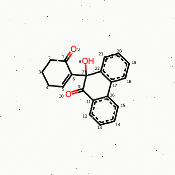 O=C1CCCC=C1C1(O)C(=O)c2ccccc2-c2ccccc21